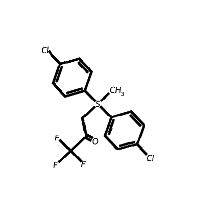 CS(CC(=O)C(F)(F)F)(c1ccc(Cl)cc1)c1ccc(Cl)cc1